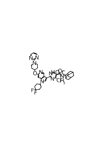 O=C(NC1(C(=O)O)C2CC3CC(C2)CC1C3)c1cnc(-c2cn(C3CCC(F)(F)CC3)c3cc(OC4CCN(c5ncccn5)CC4)ncc23)nc1C(F)(F)F